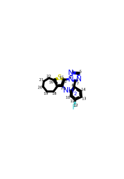 Nc1c(-n2ncnc2-c2ccc(F)cc2)sc2c1CCCCC2